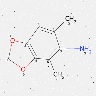 Cc1cc2c(c(C)c1N)OCO2